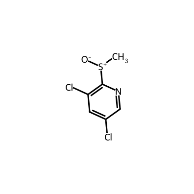 C[S+]([O-])c1ncc(Cl)cc1Cl